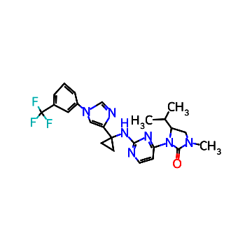 CC(C)C1CN(C)C(=O)N1c1ccnc(NC2(c3cn(-c4cccc(C(F)(F)F)c4)cn3)CC2)n1